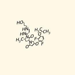 CC(C)Oc1ccc(F)c(OC2=CC(=O)N([C@H]3CC(C)N(C(=N)/C=C\NCCCO)C3=O)C2)c1F